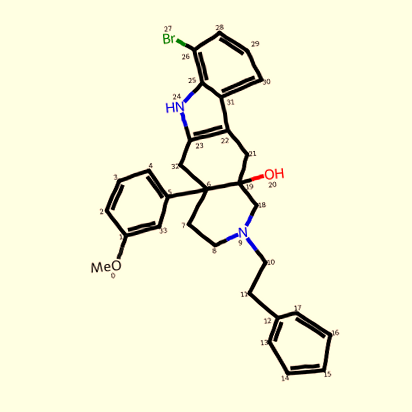 COc1cccc(C23CCN(CCc4ccccc4)CC2(O)Cc2c([nH]c4c(Br)cccc24)C3)c1